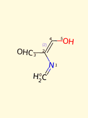 C=N/C(C=O)=C\O